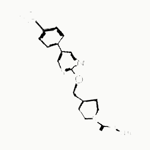 CC(C)(C)OC(=O)N1CCC(COc2ncc(-c3ccc(C(=O)O)cc3)cn2)CC1